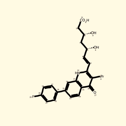 CC(C)c1c(C=C[C@@H](O)C[C@@H](O)CC(=O)O)[nH]c2cc(-c3ccc(F)cc3)ccc2c1=O